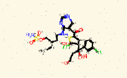 CC[C@H](COS(N)(=O)=O)[C@@H](O)CNc1ncncc1C(=O)c1cc(C(O)(CCO)c2cccc(Cl)c2)c(Cl)s1